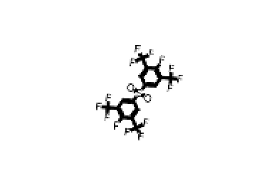 O=S(=O)(c1cc(C(F)(F)F)c(F)c(C(F)(F)F)c1)c1cc(C(F)(F)F)c(F)c(C(F)(F)F)c1